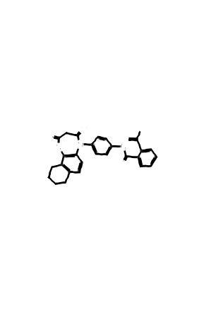 C=C(C)c1ccccc1C(=O)Nc1ccc(N2C(=O)CC(=O)Nc3c2ccc2c3CCCC2)cc1